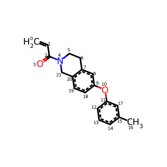 C=CC(=O)N1CCc2cc(Oc3cccc(C)c3)ccc2C1